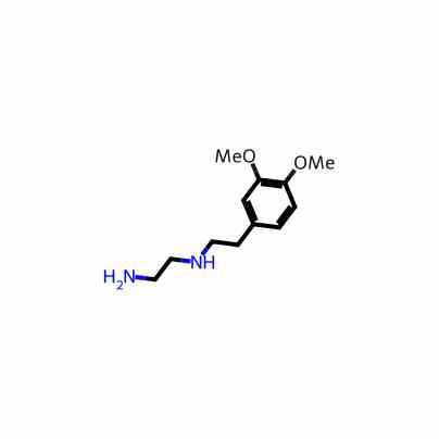 COc1ccc(CCNCCN)cc1OC